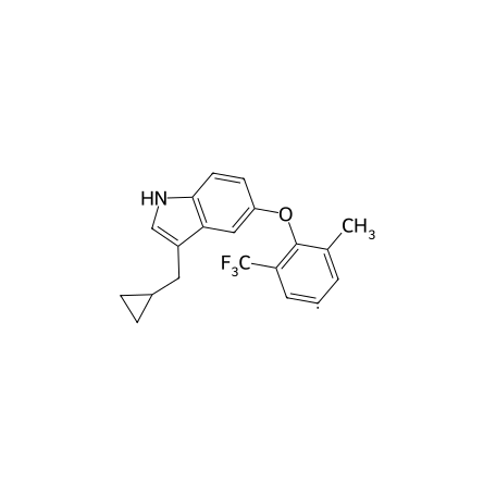 Cc1c[c]cc(C(F)(F)F)c1Oc1ccc2[nH]cc(CC3CC3)c2c1